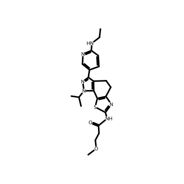 CCNc1ccc(-c2nn(C(C)C)c3c2CCc2nc(NC(=O)CCOC)sc2-3)cn1